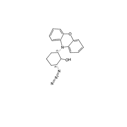 [N-]=[N+]=N[C@@H]1CCC[C@H](N2c3ccccc3Oc3ccccc32)C1O